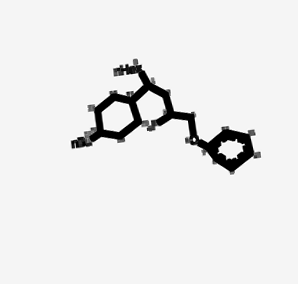 CCCCCCC(CC(F)COc1ccccc1)C1CCC(CCCC)CC1